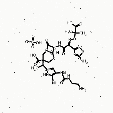 CC([n+]1cc(NC(=O)NCCN)c(N)[nH]1)C1(C(=O)O)CS[C@@H]2[C@H](NC(=O)C(=NOC(C)(C)C(=O)O)c3nsc(N)n3)C(=O)N2C1.O=S(=O)([O-])O